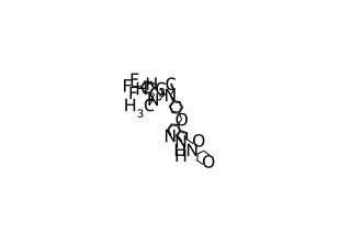 C=CN(C(=C)CN(C)c1cccc(C(F)(F)F)c1)c1ccc(Oc2ccnc3[nH]c(C(=O)NC4CCOCC4)cc23)cc1